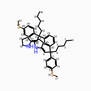 CCCCCC(/C=C1\CCCN1)(c1ccc(SC)cc1)c1cccc(C(/C=C2\CCCN2)(CCCCC)c2ccc(SC)cc2)c1